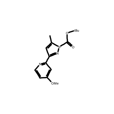 COc1ccnc(-c2cc(C)n(C(=O)OC(C)(C)C)n2)c1